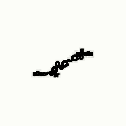 CCCCCCCCCCCCOc1ccc(C(=O)Oc2ccc(CC[C@H]3CC[C@H](OC(=O)[C@@H](F)CCCC)CC3)cc2)cc1Br